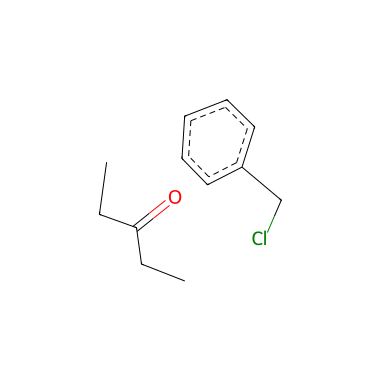 CCC(=O)CC.ClCc1ccccc1